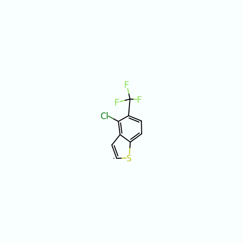 FC(F)(F)c1ccc2s[c]cc2c1Cl